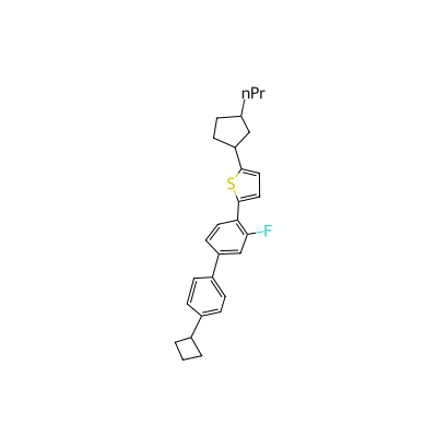 CCCC1CCC(c2ccc(-c3ccc(-c4ccc(C5CCC5)cc4)cc3F)s2)C1